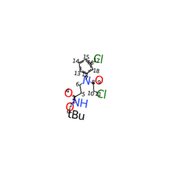 CC(C)(C)ONC(=O)CCN(C(=O)CCl)c1cccc(Cl)c1